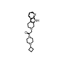 O=C(CN1CCc2c([nH]c3ncccc23)C1)N1CCN(C2CCC2)CC1